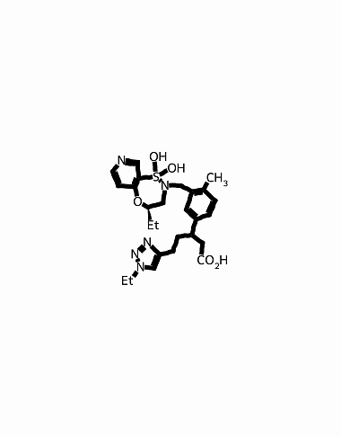 CC[C@@H]1CN(Cc2cc(C(CCc3cn(CC)nn3)CC(=O)O)ccc2C)S(O)(O)c2cnccc2O1